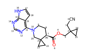 N#CCC1(COC(=O)[C@@H]2CCN(c3ncnc4[nH]ccc34)CC23CC3)CC1